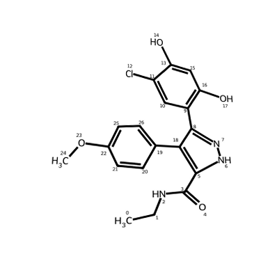 CCNC(=O)c1[nH]nc(-c2cc(Cl)c(O)cc2O)c1-c1ccc(OC)cc1